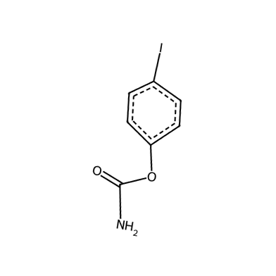 NC(=O)Oc1ccc(I)cc1